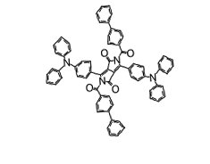 O=C1C2=C(c3ccc(N(c4ccccc4)c4ccccc4)cc3)N(C(=O)c3ccc(-c4ccccc4)cc3)C(=O)C2=C(c2ccc(N(c3ccccc3)c3ccccc3)cc2)N1C(=O)c1ccc(-c2ccccc2)cc1